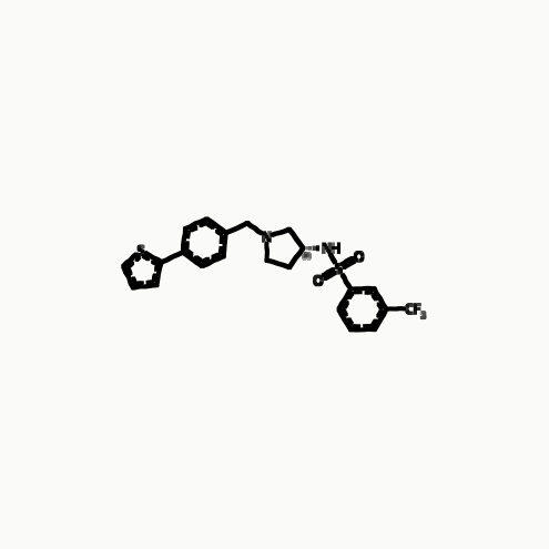 O=S(=O)(N[C@@H]1CCN(Cc2ccc(-c3cccs3)cc2)C1)c1cccc(C(F)(F)F)c1